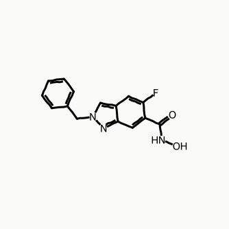 O=C(NO)c1cc2nn(Cc3ccccc3)cc2cc1F